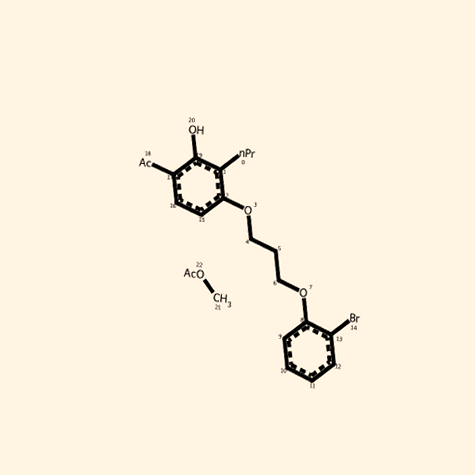 CCCc1c(OCCCOc2ccccc2Br)ccc(C(C)=O)c1O.COC(C)=O